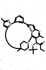 CCC(=O)[C@@H](OC(C)(C)C)c1c(C)nc2cc3nn2c1N1CCC(C)(CCCCCCc2cc(C)nn2-c2cccc-3c2)CC1